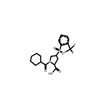 O=C(O)C1CC(S(=O)(=O)c2ccccc2C(F)(F)F)CN1C(=O)C1CCCCC1